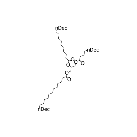 CCCCCCCCCCCCCCCCCCCCCC(=O)OC[C@@H](COC(=O)CCCCCCCCCCCCC)OC(=O)CCCCCCCCCCCCCCCCCCC